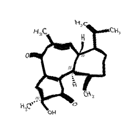 C=C(C)C1CCC(=C)[C@H]2C3=C(C[C@](C)(O)C3=O)C(=O)C(C)=C[C@H]12